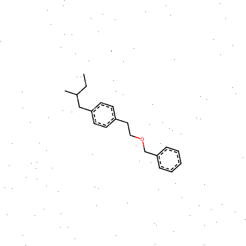 CCC(C)Cc1ccc(CCOCc2ccccc2)cc1